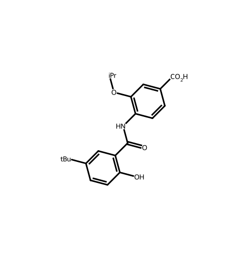 CC(C)Oc1cc(C(=O)O)ccc1NC(=O)c1cc(C(C)(C)C)ccc1O